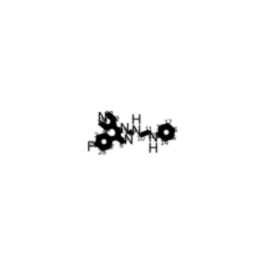 Fc1ccc(-c2cnc(NCCNc3ccccc3)nc2-c2ccncc2)cc1